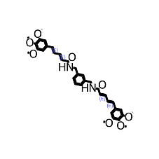 COc1cc(/C=C/C=C/C(=O)NCc2cccc(CNC(=O)/C=C/C=C/c3cc(OC)c(OC)c(OC)c3)c2)cc(OC)c1OC